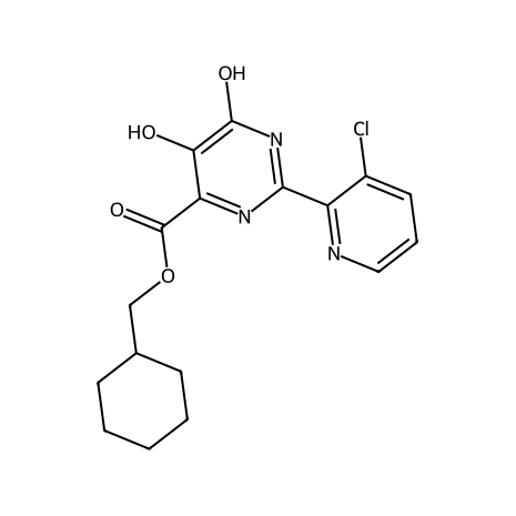 O=C(OCC1CCCCC1)c1nc(-c2ncccc2Cl)nc(O)c1O